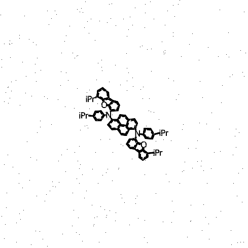 CC(C)c1ccc(N(c2ccc3ccc4c(N(c5ccc(C(C)C)cc5)c5cccc6c5oc5c(C(C)C)cccc56)ccc5ccc2c3c54)c2cccc3c2oc2c(C(C)C)cccc23)cc1